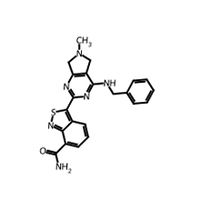 CN1Cc2nc(-c3snc4c(C(N)=O)cccc34)nc(NCc3ccccc3)c2C1